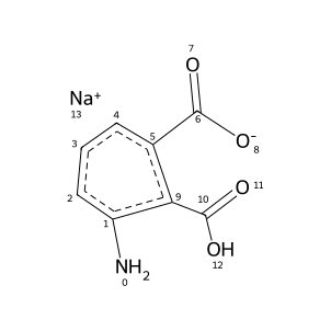 Nc1cccc(C(=O)[O-])c1C(=O)O.[Na+]